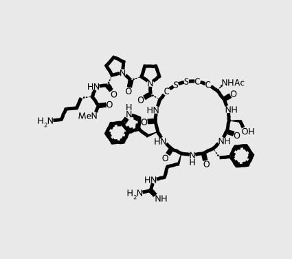 CNC(=O)[C@H](CCCCN)NC(=O)[C@@H]1CCCN1C(=O)[C@@H]1CCCN1C(=O)[C@@H]1CSSCC[C@H](NC(C)=O)C(=O)N[C@@H](CO)C(=O)N[C@H](Cc2ccccc2)C(=O)N[C@@H](CCCNC(=N)N)C(=O)N[C@@H](Cc2c[nH]c3ccccc23)C(=O)N1